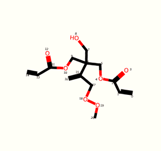 C=CC(=O)OCC(CO)(COC(=O)C=C)C(=C)COOC